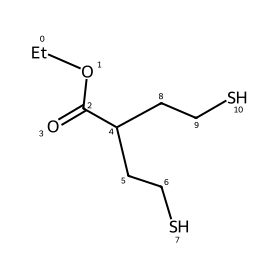 CCOC(=O)C(CCS)CCS